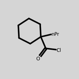 CCCC1(C(=O)Cl)CCCCC1